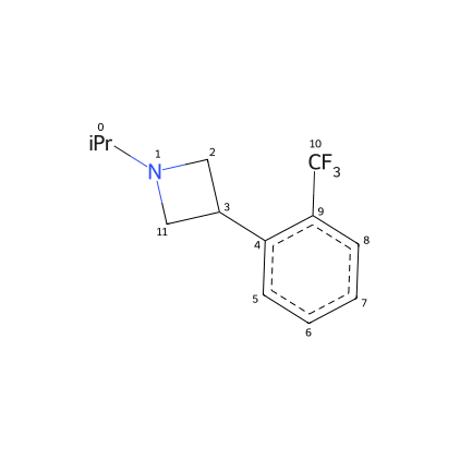 CC(C)N1CC(c2ccccc2C(F)(F)F)C1